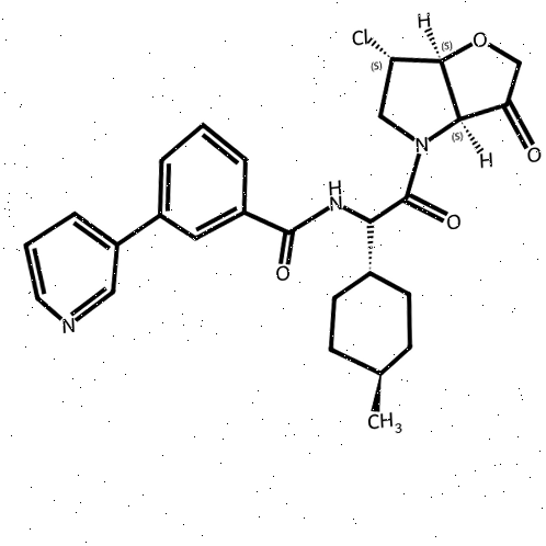 C[C@H]1CC[C@H](C(NC(=O)c2cccc(-c3cccnc3)c2)C(=O)N2C[C@H](Cl)[C@H]3OCC(=O)[C@H]32)CC1